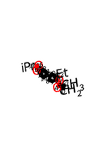 C=C(C)C(=O)Oc1ccc(-c2ccc(OC(=O)C(C)C)cc2)cc1CC